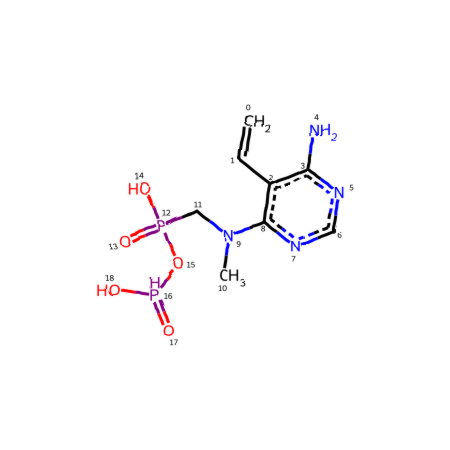 C=Cc1c(N)ncnc1N(C)CP(=O)(O)O[PH](=O)O